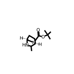 CC1N[C@H]2CC[C@@H]1N(C(=O)OC(C)(C)C)C2